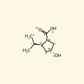 CC(C)[C@@H]1C[C@@H](O)CN1C(=O)O